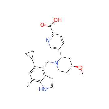 CO[C@H]1CCN(Cc2c(C3CC3)cc(C)c3[nH]ccc23)[C@H](c2ccc(C(=O)O)nc2)C1